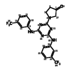 O=C1CCN(c2nc(Nc3cccc(C(F)(F)F)c3)nc(Nc3cccc(C(F)(F)F)c3)n2)C1